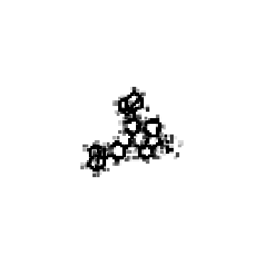 CC1(C)c2ccccc2-c2c(N(c3ccc(C45CC6CC(CC(C6)C4)C5)cc3)c3ccc(C45CC6CC(CC(C6)C4)C5)cc3)cccc21